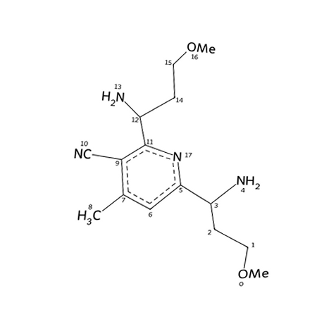 COCCC(N)c1cc(C)c(C#N)c(C(N)CCOC)n1